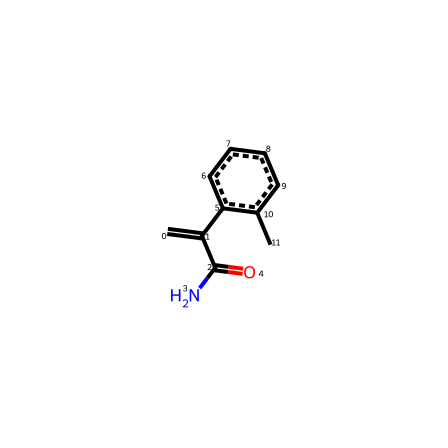 C=C(C(N)=O)c1ccccc1C